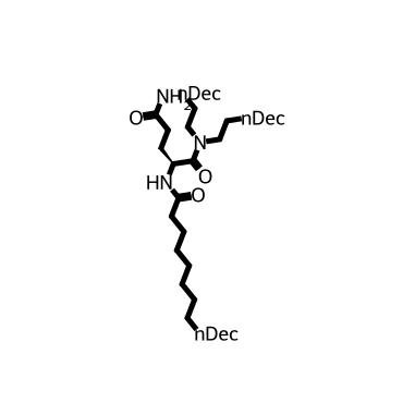 CCCCCCCCCCCCCCCCCC(=O)N[C@@H](CCC(N)=O)C(=O)N(CCCCCCCCCCCC)CCCCCCCCCCCC